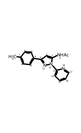 CC(=O)Nc1cc(-c2ccc(C)cc2)nn1-c1ccccn1